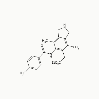 CCOC(=O)Cc1c(C)c2c(c(C)c1NC(=O)c1ccc(C)cc1)CNC2